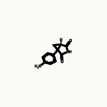 Nc1ccc(C23C[C@H]2C(=O)NC3=O)cc1